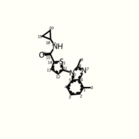 Cc1cccc2c1nc(C)n2-c1ccc(C(=O)NC2CC2)s1